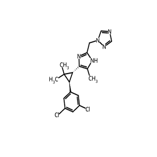 Cc1[nH]c(Cn2cncn2)nc1[C@@H]1[C@@H](c2cc(Cl)cc(Cl)c2)C1(C)C